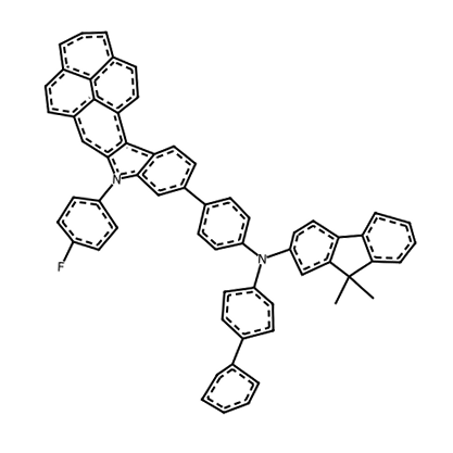 CC1(C)c2ccccc2-c2ccc(N(c3ccc(-c4ccccc4)cc3)c3ccc(-c4ccc5c6c7ccc8cccc9ccc(cc6n(-c6ccc(F)cc6)c5c4)c7c98)cc3)cc21